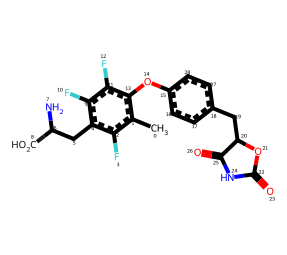 Cc1c(F)c(CC(N)C(=O)O)c(F)c(F)c1Oc1ccc(CC2OC(=O)NC2=O)cc1